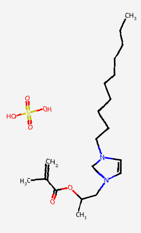 C=C(C)C(=O)OC(C)CN1C=CN(CCCCCCCCCC)C1.O=S(=O)(O)O